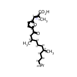 C/C(=C\c1ccc(C(=O)CC(C)CCCC(C)CCCC(C)C)o1)C(=O)O